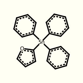 c1cc[c]([Sn]([c]2ccccc2)([c]2ccccc2)[c]2ccco2)cc1